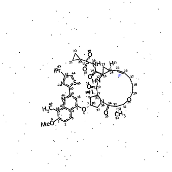 COc1ccc2c(O[C@@H]3C[C@H]4C(=O)N[C@]5(C(=O)NS(=O)(=O)C6CC6)C[C@H]5/C=C\CCCOC[C@H](C)C(=O)N4C3)cc(-c3nc(C(C)C)cs3)nc2c1C